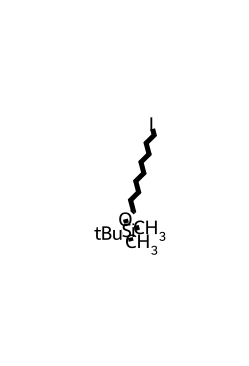 CC(C)(C)[Si](C)(C)OCCCCCCCCCI